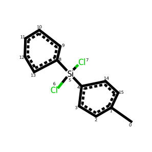 Cc1ccc([Si](Cl)(Cl)c2ccccc2)cc1